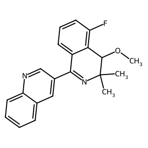 COC1c2c(F)cccc2C(c2cnc3ccccc3c2)=NC1(C)C